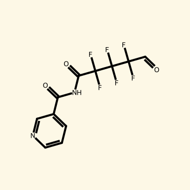 O=CC(F)(F)C(F)(F)C(F)(F)C(=O)NC(=O)c1cccnc1